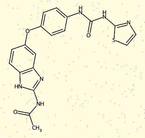 CC(=O)Nc1nc2cc(Oc3ccc(NC(=O)Nc4nccs4)cc3)ccc2[nH]1